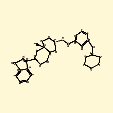 c1cc(CN2CCOCC2)nc(OC[C@H]2CC[C@H]3CN(c4noc5ccccc45)CCN3C2)c1